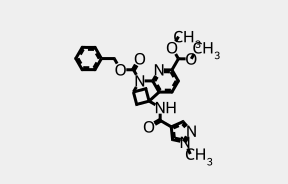 COC(OC)c1ccc2c(n1)N(C(=O)OCc1ccccc1)C1CC2(NC(=O)c2cnn(C)c2)C1